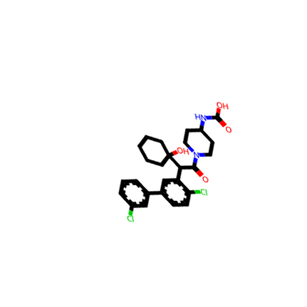 O=C(O)NC1CCN(C(=O)C(c2cc(-c3cccc(Cl)c3)ccc2Cl)C2(O)CCCCC2)CC1